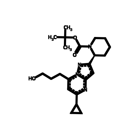 CC(C)(C)OC(=O)N1CCCC[C@H]1c1cc2nc(C3CC3)cc(CCCO)n2n1